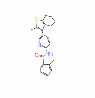 Cc1ccccc1C(=O)Nc1ccc(-c2c(C)sc3c2CCCC3)cn1